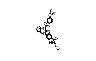 COCCNC(=O)c1ccc2c(c1)nc(Nc1nc3ccc(OC(F)(F)F)cc3o1)n2CC1CCOC1